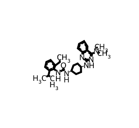 CCc1cccc(C(C)C)c1NC(=O)N[C@H]1CC[C@@H](Nc2nc(N(C)C)c3ccccc3n2)CC1